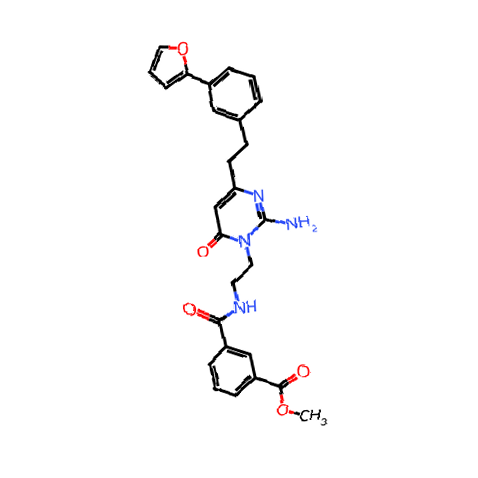 COC(=O)c1cccc(C(=O)NCCn2c(N)nc(CCc3cccc(-c4ccco4)c3)cc2=O)c1